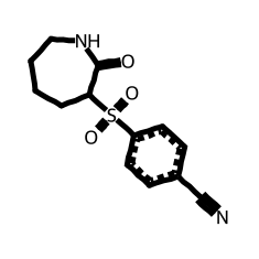 N#Cc1ccc(S(=O)(=O)C2CCCCNC2=O)cc1